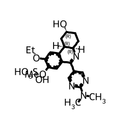 CCOc1cc2c(cc1OC)C(c1cnc(N(C)C)nc1)=N[C@@H]1CC[C@@H](O)C[C@H]21.O=S(=O)(O)O